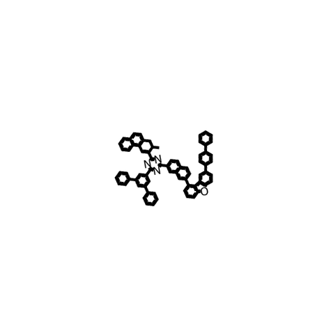 CC1Cc2ccc3ccccc3c2C=C1c1nc(-c2cc(-c3ccccc3)cc(-c3ccccc3)c2)nc(-c2ccc3ccc(-c4cccc5oc6ccc(-c7ccc(-c8ccccc8)cc7)cc6c45)cc3c2)n1